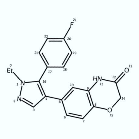 CCn1ncc(-c2ccc3c(c2)NC(=O)CO3)c1-c1ccc(F)cc1